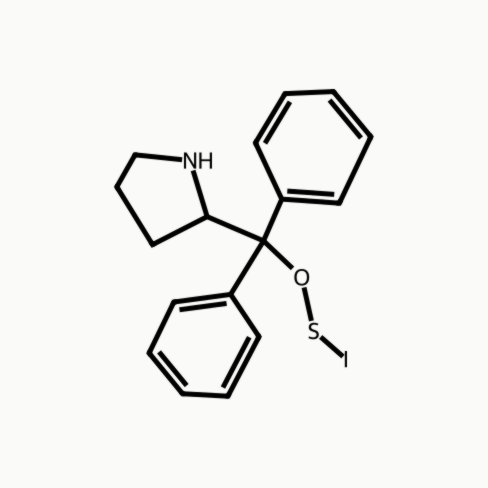 ISOC(c1ccccc1)(c1ccccc1)C1CCCN1